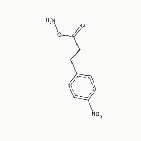 NOC(=O)CCc1ccc([N+](=O)[O-])cc1